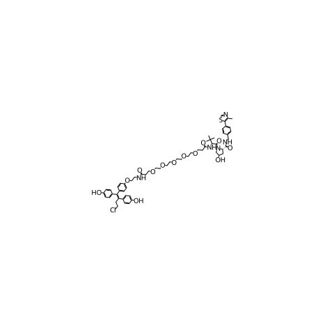 Cc1ncsc1-c1ccc(CNC(=O)[C@@H]2C[C@@H](O)CN2C(=O)C(NC(=O)CCOCCOCCOCCOCCOCCC(=O)NCCOc2ccc(C(=C(CCCl)c3ccc(O)cc3)c3ccc(O)cc3)cc2)C(C)(C)C)cc1